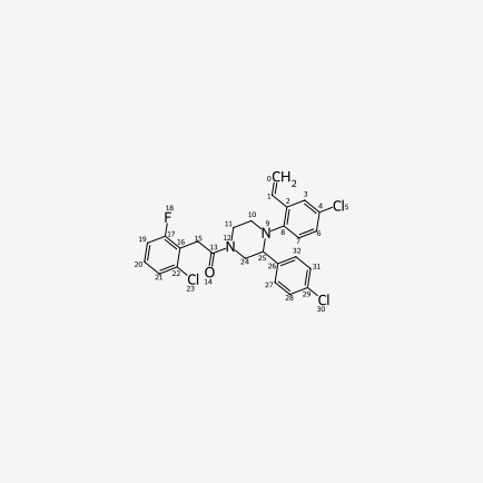 C=Cc1cc(Cl)ccc1N1CCN(C(=O)Cc2c(F)cccc2Cl)CC1c1ccc(Cl)cc1